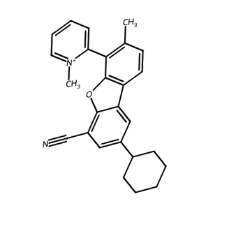 Cc1ccc2c(oc3c(C#N)cc(C4CCCCC4)cc32)c1-c1cccc[n+]1C